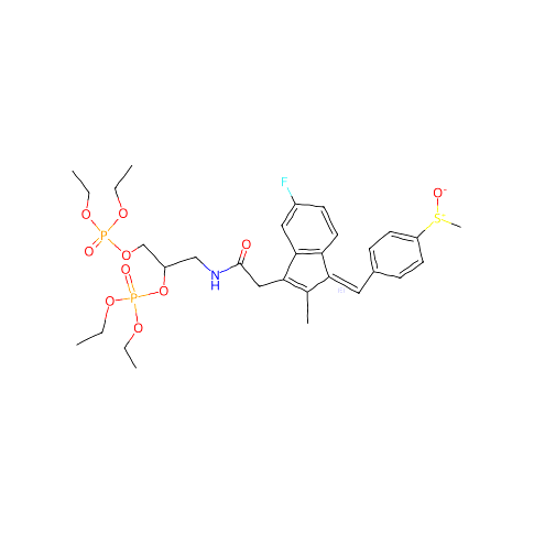 CCOP(=O)(OCC)OCC(CNC(=O)CC1=C(C)/C(=C/c2ccc([S+](C)[O-])cc2)c2ccc(F)cc21)OP(=O)(OCC)OCC